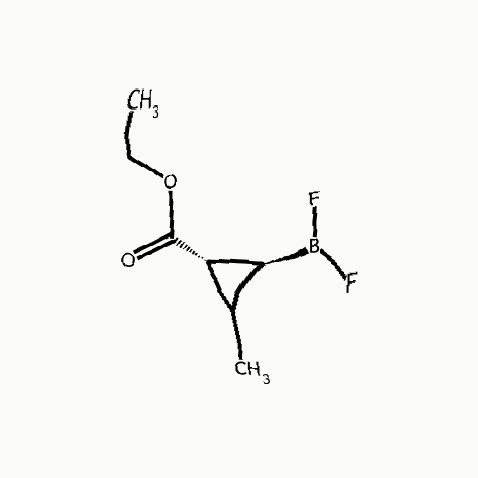 CCOC(=O)[C@H]1C(C)[C@@H]1B(F)F